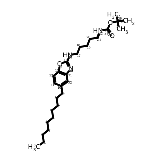 CCCCCCCCCCc1ccc2oc(NCCCCCNC(=O)OC(C)(C)C)nc2c1